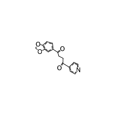 O=C(CCC(=O)c1ccc2c(c1)OCO2)c1ccncc1